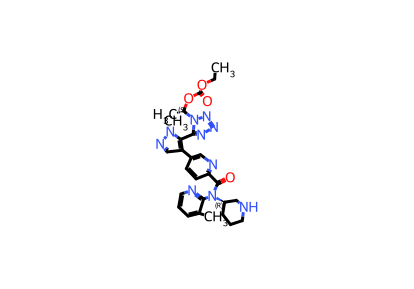 CCOC(=O)O[C@@H](C)n1nnnc1-c1c(-c2ccc(C(=O)N(c3ncccc3C)[C@@H]3CCCNC3)nc2)cnn1C